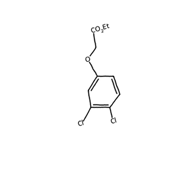 CCOC(=O)COc1ccc(Cl)c(Cl)c1